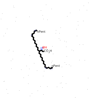 CCCCC/C=C\C/C=C\CCCCCCCCC(CCCCCCCC/C=C\C/C=C\CCCCC)/C(CC(=O)O)=N/O